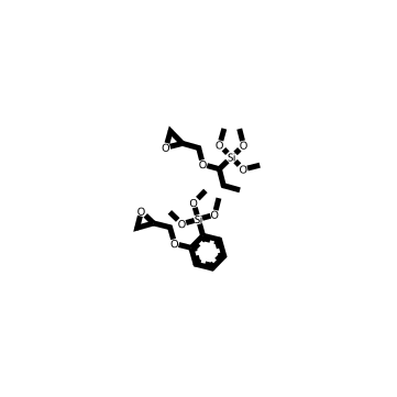 CCC(OCC1CO1)[Si](OC)(OC)OC.CO[Si](OC)(OC)c1ccccc1OCC1CO1